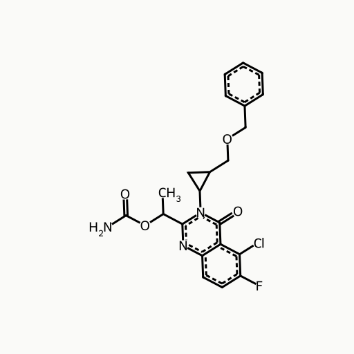 CC(OC(N)=O)c1nc2ccc(F)c(Cl)c2c(=O)n1C1CC1COCc1ccccc1